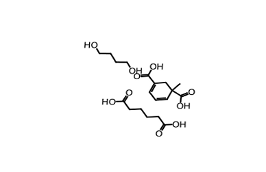 CC1(C(=O)O)C=CC=C(C(=O)O)C1.O=C(O)CCCCC(=O)O.OCCCCO